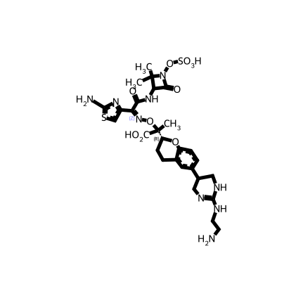 CC(O/N=C(\C(=O)NC1C(=O)N(OS(=O)(=O)O)C1(C)C)c1csc(N)n1)(C(=O)O)[C@H]1CCc2cc(C3CN=C(NCCN)NC3)ccc2O1